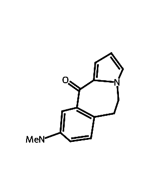 CNc1ccc2c(c1)C(=O)c1cccn1CC2